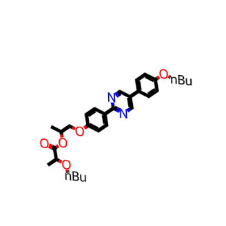 CCCCOc1ccc(-c2cnc(-c3ccc(OCC(C)OC(=O)C(C)OCCCC)cc3)nc2)cc1